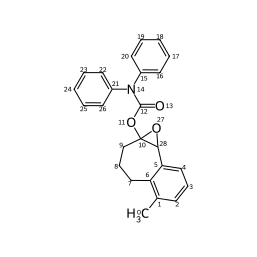 Cc1cccc2c1CCCC1(OC(=O)N(c3ccccc3)c3ccccc3)OC21